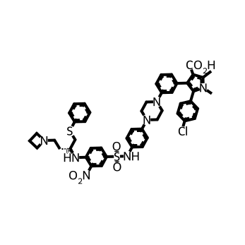 Cc1c(C(=O)O)c(-c2cccc(N3CCN(c4ccc(NS(=O)(=O)c5ccc(N[C@H](CCN6CCC6)CSc6ccccc6)c([N+](=O)[O-])c5)cc4)CC3)c2)c(-c2ccc(Cl)cc2)n1C